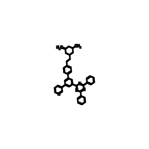 C=C1CC(C)CC(CCc2ccc(-c3cc(-c4cccnc4)cc(-c4nc(-c5ccccc5)nc(-c5ccccc5)n4)c3)cc2)C1